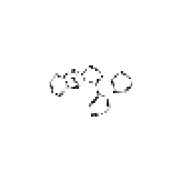 c1ccc(-c2ccc3c(c2-c2ccccc2)C2OOC3c3ccccc32)cc1